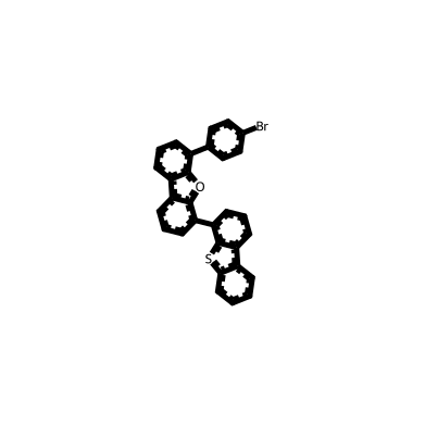 Brc1ccc(-c2cccc3c2oc2c(-c4cccc5c4sc4ccccc45)cccc23)cc1